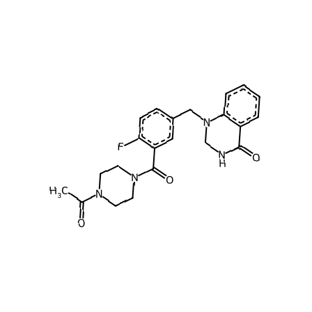 CC(=O)N1CCN(C(=O)c2cc(CN3CNC(=O)c4ccccc43)ccc2F)CC1